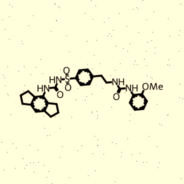 COc1ccccc1NC(=O)NCCc1ccc(S(=O)(=O)NC(=O)Nc2c3c(cc4c2CCC4)CCC3)cc1